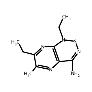 CCc1nc2c(nc1C)C(N)=NSN2CC